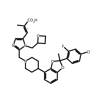 C/C(=C\c1cnc(CN2CCC(c3cccc4c3OC(C)(c3ccc(Cl)cc3F)O4)CC2)n1CC1CCO1)C(=O)O